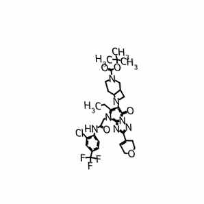 CCc1c(N2CC3CN(C(=O)OC(C)(C)C)CCC32)c(=O)n2nc(C3=CCOCC3)nc2n1CC(=O)Nc1ccc(C(F)(F)F)cc1Cl